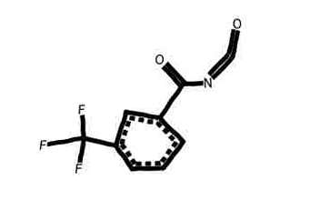 O=C=NC(=O)c1cccc(C(F)(F)F)c1